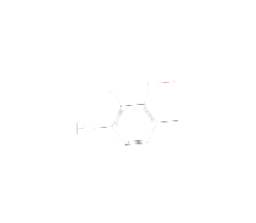 COc1c(C)ccc(Br)c1Cl